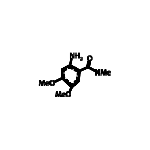 CNC(=O)c1cc(OC)c(OC)cc1N